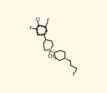 C[Si]1([C@H]2CC[C@H](CCCF)CC2)CCC(c2cc(F)c(Cl)c(F)c2)CC1